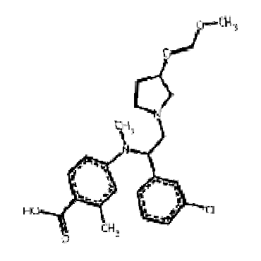 COCOC1CCN(CC(c2cccc(Cl)c2)N(C)c2ccc(C(=O)O)c(C)c2)C1